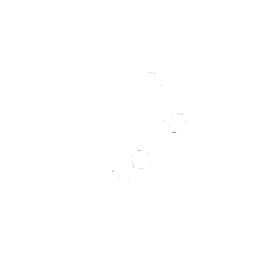 CON(C)C(=O)c1ccc(COc2cccc(C3CCN(C(=O)O)CC3)n2)c(C(F)(F)F)c1